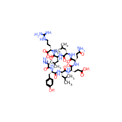 CC(C)C[C@H](NC(=O)[C@H](CC(C)C)NC(=O)[C@H](CCC(N)=O)NC(=O)[C@H](CCC(=O)O)NC(=O)[C@H](CC(C)C)NC(=O)[C@H](Cc1ccc(O)cc1)NC(=O)CN)C(=O)N[C@@H](CCCNC(=N)N)C(=O)O